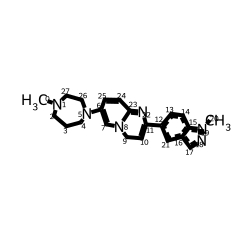 CN1CCCN(C2=CN3CC=C(c4ccc5c(cnn5C)c4)N=C3C=C2)CC1